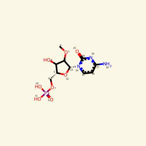 COC1C(O)[C@@H](COP(=O)(O)O)O[C@H]1n1ccc(N)nc1=O